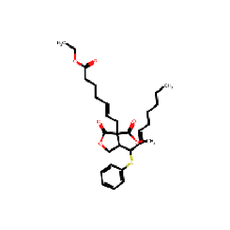 CCCCCC=CC(Sc1ccccc1)C1COC(=O)C1(CC=CCCCC(=O)OCC)C(=O)OC